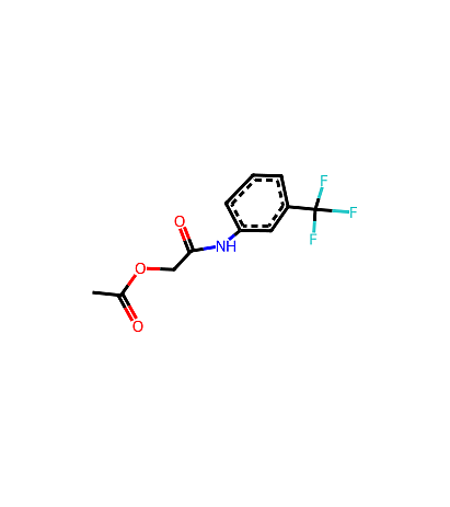 CC(=O)OCC(=O)Nc1cccc(C(F)(F)F)c1